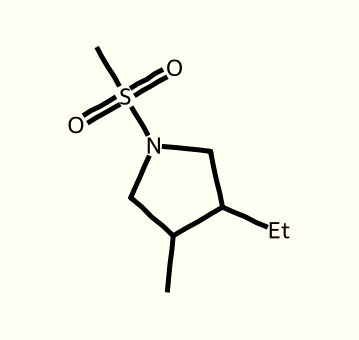 CCC1CN(S(C)(=O)=O)CC1C